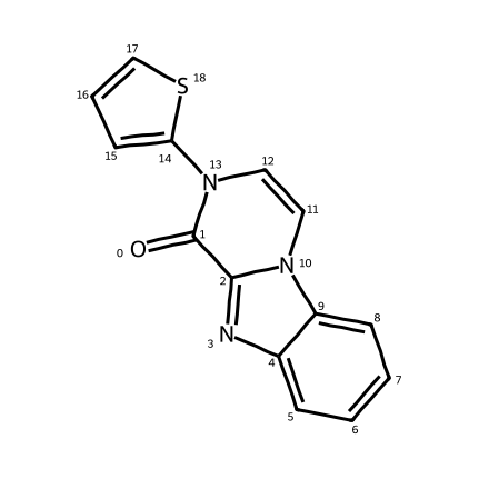 O=c1c2nc3ccccc3n2ccn1-c1cccs1